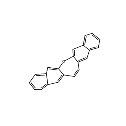 C1=Cc2cc3ccccc3cc2Oc2cc3ccccc3cc21